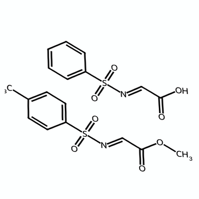 COC(=O)/C=N/S(=O)(=O)c1ccc(C)cc1.O=C(O)/C=N/S(=O)(=O)c1ccccc1